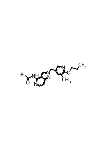 Cc1cc(Cn2cc3c(NC(=O)C(C)C)nccc3n2)cnc1OCCC(F)(F)F